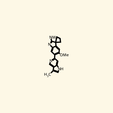 CNC1=Nc2cc(-c3cc4[nH]cc(C)c4cn3)c(OC)cc2C12CCC2